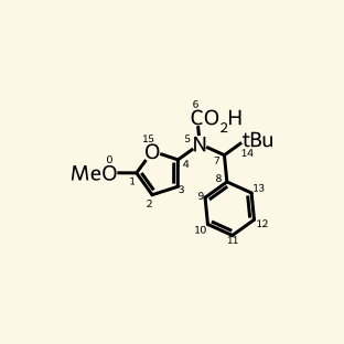 COc1ccc(N(C(=O)O)C(c2ccccc2)C(C)(C)C)o1